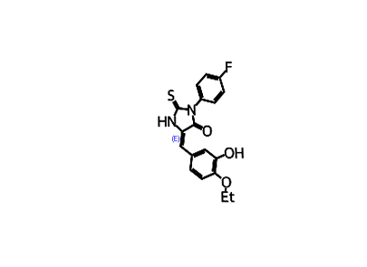 CCOc1ccc(/C=C2/NC(=S)N(c3ccc(F)cc3)C2=O)cc1O